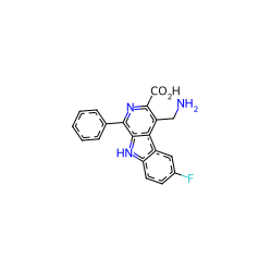 NCc1c(C(=O)O)nc(-c2ccccc2)c2[nH]c3ccc(F)cc3c12